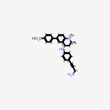 CC(=O)N1c2ccc(-c3ccc(C(=O)O)cc3)cc2[C@H](Nc2ccc(C#CCN)cc2)C[C@@H]1C